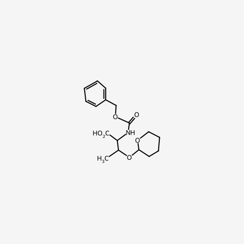 CC(OC1CCCCO1)C(NC(=O)OCc1ccccc1)C(=O)O